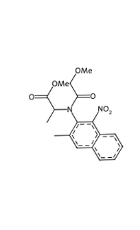 COCC(=O)N(c1c(C)cc2ccccc2c1[N+](=O)[O-])C(C)C(=O)OC